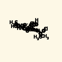 CCO[PH]1(O)CCC(CNc2ccc(S(=O)(=O)NC(=O)c3ccc(N4CCN(CC5=C(c6ccc(Cl)cc6)CC(C)(C)CC5)CC4)cc3N3CCCOc4nc5[nH]ccc5cc43)cc2[N+](=O)[O-])CC1